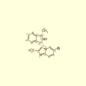 Cc1nc2ccc(Br)cn2c1[C@H]1N[C@@H](C)c2ccccc21